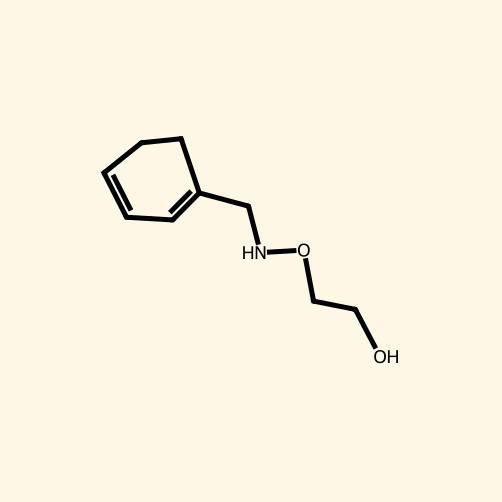 OCCONCC1=CC=CCC1